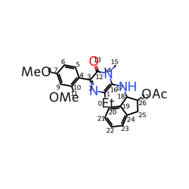 CCc1nc(-c2ccc(OC)cc2OC)c(=O)n(C)c1NC1c2ccccc2CC1OC(C)=O